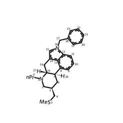 CCCN1C[C@H](CSC)C[C@@H]2c3cccc4c3c(cn4Cc3ccccc3)C[C@H]21